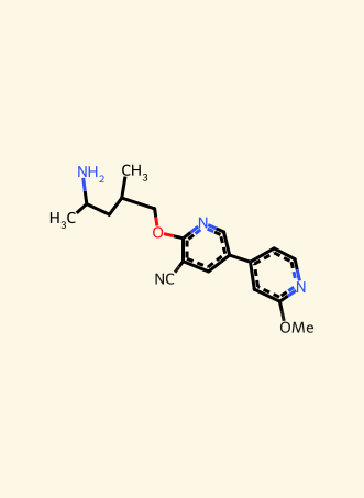 COc1cc(-c2cnc(OCC(C)CC(C)N)c(C#N)c2)ccn1